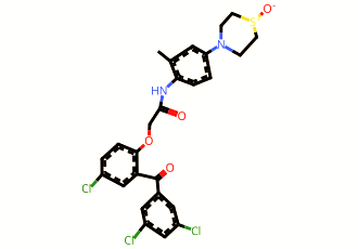 Cc1cc(N2CC[S+]([O-])CC2)ccc1NC(=O)COc1ccc(Cl)cc1C(=O)c1cc(Cl)cc(Cl)c1